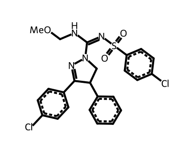 COCN/C(=N/S(=O)(=O)c1ccc(Cl)cc1)N1CC(c2ccccc2)C(c2ccc(Cl)cc2)=N1